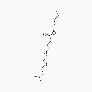 CCCCCOC(=O)CCCOCCOCCC(C)C